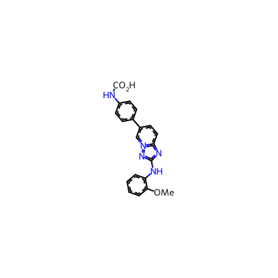 COc1ccccc1Nc1nc2ccc(-c3ccc(NC(=O)O)cc3)cn2n1